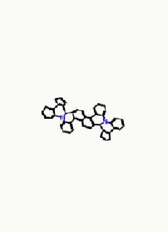 C1=CC2=C(C1)c1ccccc1N1c3ccccc3-c3c(ccc4c5c(ccc34)C3C4=C(CC=C4)c4ccccc4N3c3ccccc3-5)C21